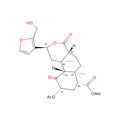 COC(=O)[C@@H]1C[C@H](OC(C)=O)C(=O)[C@H]2[C@@]1(C)CC[C@H]1C(=O)O[C@H](c3ccoc3CO)C[C@]21C